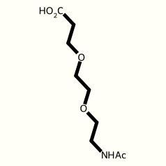 CC(=O)NCCOCCOCCC(=O)O